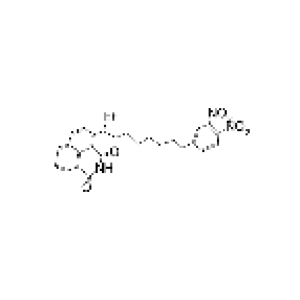 CCC(CCCCCCCc1ccc([N+](=O)[O-])c([N+](=O)[O-])c1)c1ccc2cccc3c2c1C(=O)NC3=O